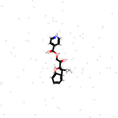 Cc1c(C(=O)COC(=O)c2ccncc2)oc2ccccc12